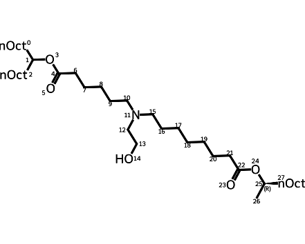 CCCCCCCCC(CCCCCCCC)OC(=O)CCCCCN(CCO)CCCCCCCC(=O)O[C@H](C)CCCCCCCC